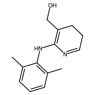 Cc1cccc(C)c1NC1=C(CO)CCC=N1